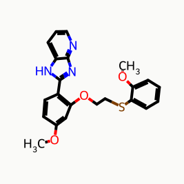 COc1ccc(-c2nc3ncccc3[nH]2)c(OCCSc2ccccc2OC)c1